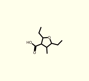 CCC1OC(CC)C(C(=O)O)C1C